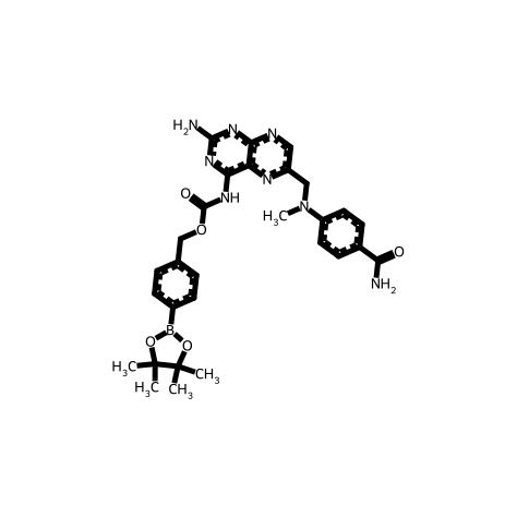 CN(Cc1cnc2nc(N)nc(NC(=O)OCc3ccc(B4OC(C)(C)C(C)(C)O4)cc3)c2n1)c1ccc(C(N)=O)cc1